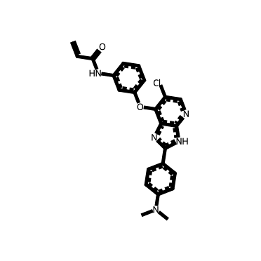 C=CC(=O)Nc1cccc(Oc2c(Cl)cnc3[nH]c(-c4ccc(N(C)C)cc4)nc23)c1